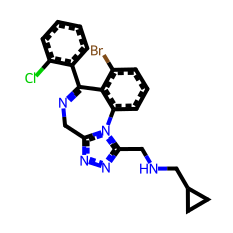 Clc1ccccc1C1=NCc2nnc(CNCC3CC3)n2-c2cccc(Br)c21